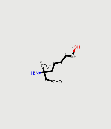 NC(CC=O)(CCCCBO)C(=O)O